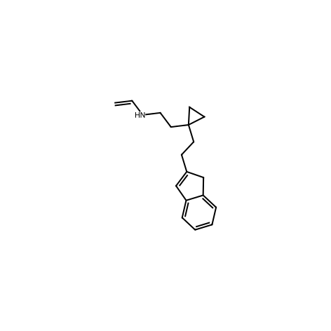 C=CNCCC1(CCC2=Cc3ccccc3C2)CC1